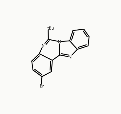 CC(C)(C)c1nc2ccc(Br)cc2c2nc3ccccc3n12